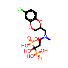 CN(CCC(O)(P(=O)(O)O)P(=O)(O)O)CC1COc2cc(Cl)ccc2O1